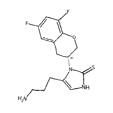 NCCCc1c[nH]c(=S)n1[C@H]1COc2c(F)cc(F)cc2C1